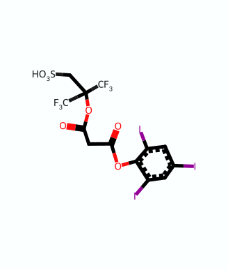 O=C(CC(=O)OC(CS(=O)(=O)O)(C(F)(F)F)C(F)(F)F)Oc1c(I)cc(I)cc1I